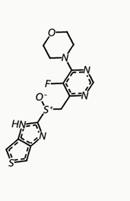 [O-][S+](Cc1ncnc(N2CCOCC2)c1F)c1nc2cscc2[nH]1